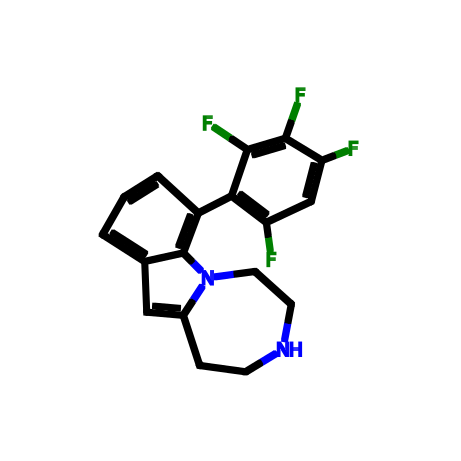 Fc1cc(F)c(-c2cccc3cc4n(c23)CCNCC4)c(F)c1F